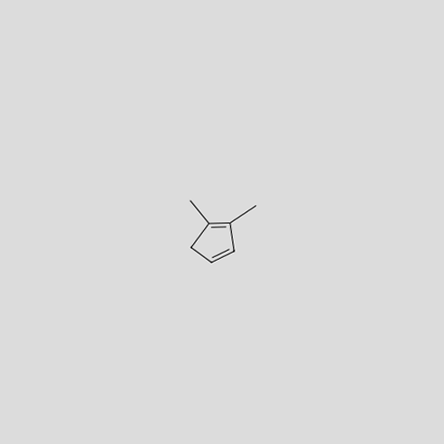 CC1=C(C)CC=C1